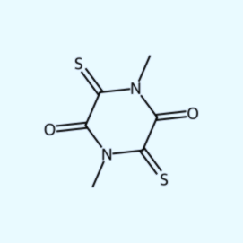 CN1C(=O)C(=S)N(C)C(=O)C1=S